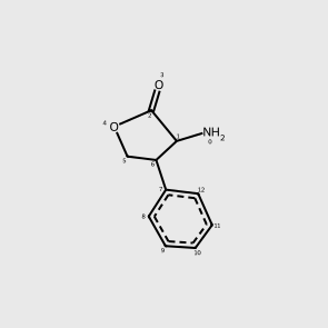 NC1C(=O)OCC1c1ccccc1